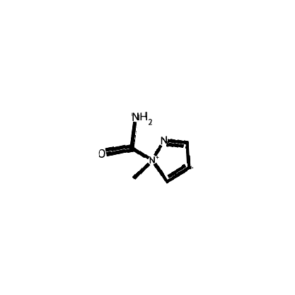 C[N+]1(C(N)=O)C=[C]C=N1